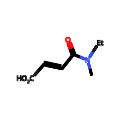 CCN(C)C(=O)/C=C/C(=O)O